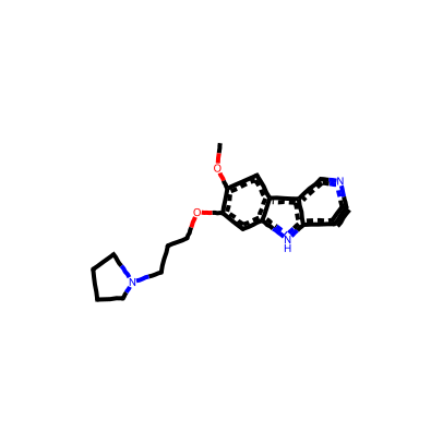 COc1cc2c(cc1OCCCN1CCCC1)[nH]c1c#cncc12